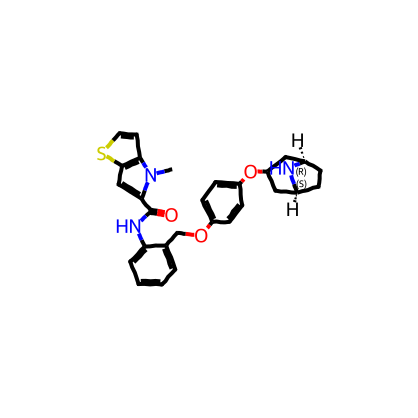 Cn1c(C(=O)Nc2ccccc2COc2ccc(OC3C[C@H]4CC[C@@H](C3)N4)cc2)cc2sccc21